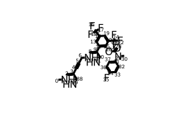 CN/C=C(/C#CCN/C=C(\C=N)c1cc(C(F)(F)F)cc(C(F)(F)F)c1OC(=O)N(C)c1ccc(F)cc1)C=N